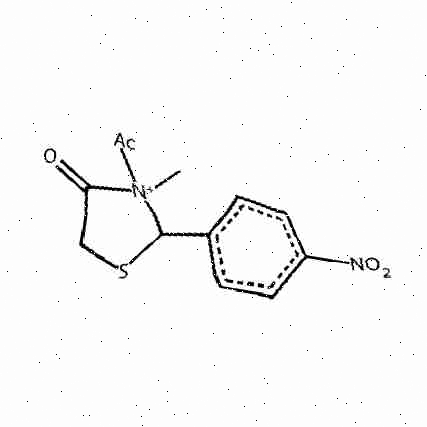 CC(=O)[N+]1(C)C(=O)CSC1c1ccc([N+](=O)[O-])cc1